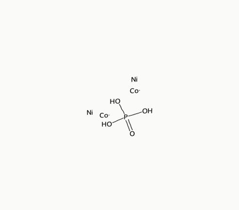 O=P(O)(O)O.[Co].[Co].[Ni].[Ni]